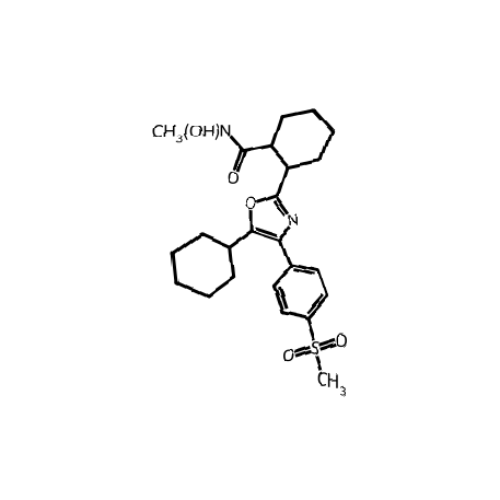 CN(O)C(=O)C1CCCCC1c1nc(-c2ccc(S(C)(=O)=O)cc2)c(C2CCCCC2)o1